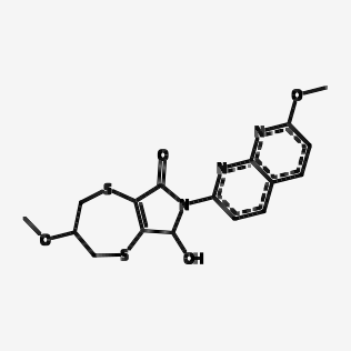 COc1ccc2ccc(N3C(=O)C4=C(SCC(OC)CS4)C3O)nc2n1